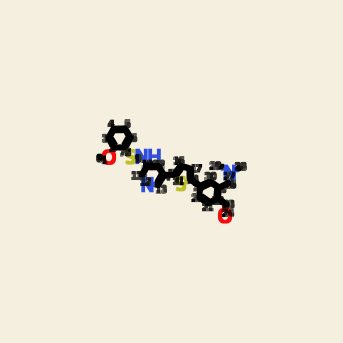 COc1ccccc1SNc1cncc(-c2ccc(-c3ccc(C=O)c(CN(C)C)c3)s2)c1